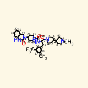 CN1CCC(C2CCN(C(=O)C(Cc3cc(C(F)(F)F)cc(C(F)(F)F)c3)NC(=O)N3CCC(N4Cc5ccccc5NC4=O)CC3)CC2)CC1